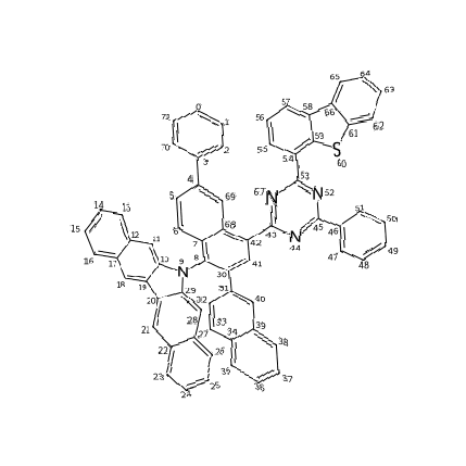 c1ccc(-c2ccc3c(-n4c5cc6ccccc6cc5c5cc6ccccc6cc54)c(-c4ccc5ccccc5c4)cc(-c4nc(-c5ccccc5)nc(-c5cccc6c5sc5ccccc56)n4)c3c2)cc1